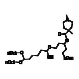 CCCCCCCCCCCCC(CCOC(O)CCCCC(OCCCCCCCC)OCCCCCCCC)OC(=O)C1(C)CCN(C)CC1